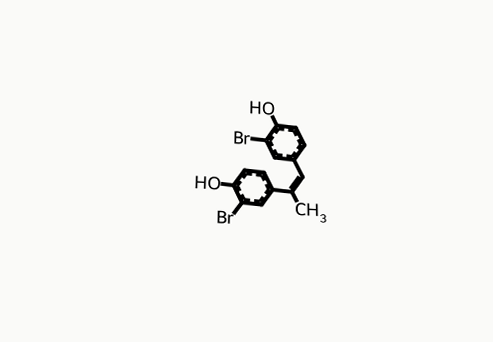 CC(=Cc1ccc(O)c(Br)c1)c1ccc(O)c(Br)c1